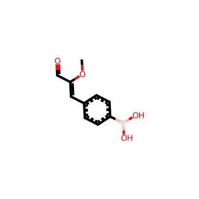 COC(C=O)=Cc1ccc(B(O)O)cc1